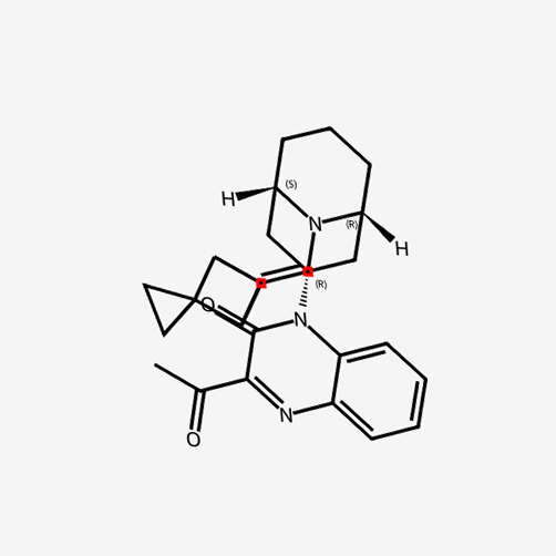 CC(=O)c1nc2ccccc2n([C@H]2C[C@H]3CCC[C@@H](C2)N3C=C2C3CC2C32CC2)c1=O